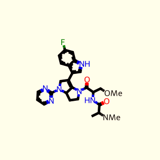 CNC(C)C(=O)NC(COC)C(=O)N1CCC2C1=C(c1c[nH]c3cc(F)ccc13)CN2c1ncccn1